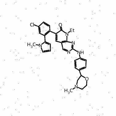 CCn1c(=O)c(-c2ccc(Cl)cc2-c2cccn2C)cc2cnc(Nc3ccc(C4CN(C)CCO4)cc3)nc21